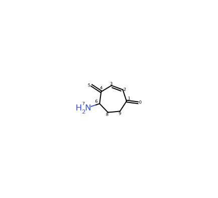 C=C1C=CC(=C)C(N)CC1